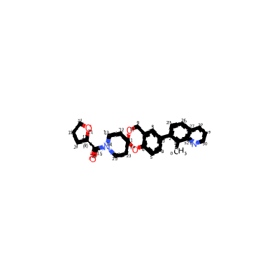 Cc1c(-c2ccc3c(c2)COC2(CCN(C(=O)[C@H]4CCCO4)CC2)O3)ccc2cccnc12